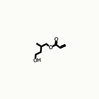 C=CC(=O)OCC(C)CCO